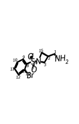 NCC1CN(S(=O)(=O)c2ccccc2Br)C1